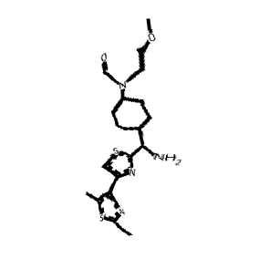 COCCN(C=O)C1CCC(C(N)c2nc(-c3nc(C)sc3C)cs2)CC1